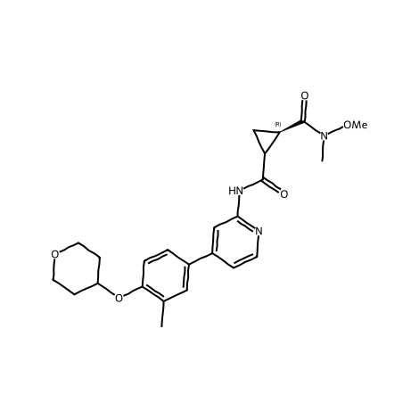 CON(C)C(=O)[C@@H]1CC1C(=O)Nc1cc(-c2ccc(OC3CCOCC3)c(C)c2)ccn1